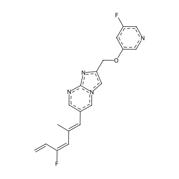 C=C/C(F)=C\C(C)=C\c1cnc2nc(COc3cncc(F)c3)cn2c1